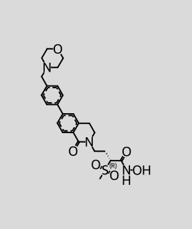 CS(=O)(=O)[C@H](CCN1CCc2cc(-c3ccc(CN4CCOCC4)cc3)ccc2C1=O)C(=O)NO